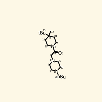 CCCCN1CCN(CC(=O)N2CCC(C)(C(C)(C)C)CC2)CC1